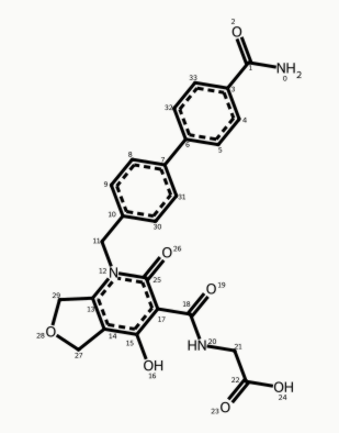 NC(=O)c1ccc(-c2ccc(Cn3c4c(c(O)c(C(=O)NCC(=O)O)c3=O)COC4)cc2)cc1